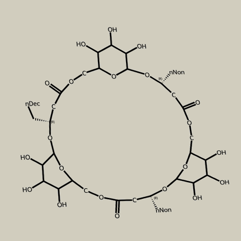 CCCCCCCCCCC[C@@H]1CC(=O)OCC2OC(O[C@H](CCCCCCCCC)CC(=O)OCC3OC(O[C@H](CCCCCCCCC)CC(=O)OCC4OC(O1)C(O)C(O)C4O)C(O)C(O)C3O)C(O)C(O)C2O